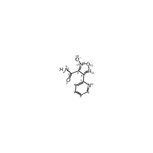 NC(=O)c1c(-c2ccccn2)no[n+]1[O-]